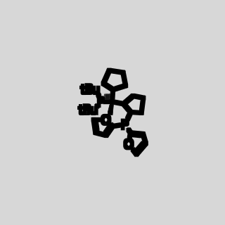 CC(C)(C)P(C(C)(C)C)[C@](C)(C1CCCC1)C1CCCC1P(c1ccco1)c1ccco1